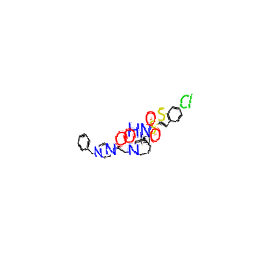 O=C(CN1CCC[C@H](NS(=O)(=O)c2cc3ccc(Cl)cc3s2)C1=O)N1CCN(Cc2ccccc2)CC1